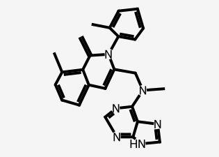 C=C1c2c(C)cccc2C=C(CN(C)c2ncnc3[nH]cnc23)N1c1ccccc1C